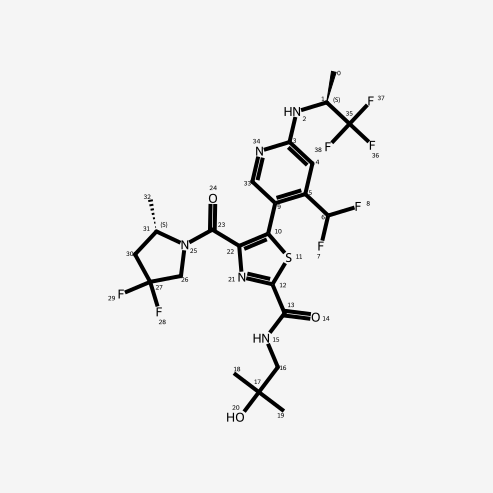 C[C@H](Nc1cc(C(F)F)c(-c2sc(C(=O)NCC(C)(C)O)nc2C(=O)N2CC(F)(F)C[C@@H]2C)cn1)C(F)(F)F